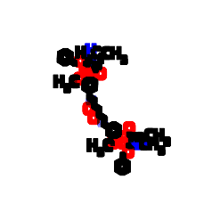 COc1cc(/C=C/C(=O)CC(=O)/C=C/c2ccc(OC(=O)[C@H](CC(C)C)NC(=O)OCc3ccccc3)c(OC)c2)ccc1OC(=O)[C@H](CC(C)C)NC(=O)OCc1ccccc1